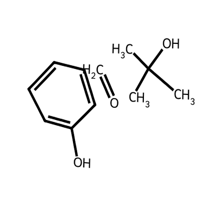 C=O.CC(C)(C)O.Oc1ccccc1